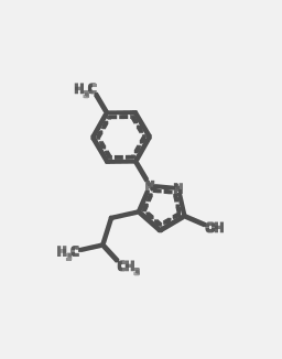 Cc1ccc(-n2nc(O)cc2CC(C)C)cc1